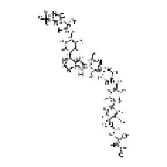 Cc1cc(-c2ncnc3[nH]c(-c4c(C)nn(C5CCN(CC6CCN(c7ccc(N(C)CCC(=O)NC=O)c(C)c7)CC6)CC5)c4C)cc23)ccc1CNC(=O)c1nc(C(C)(C)C)no1